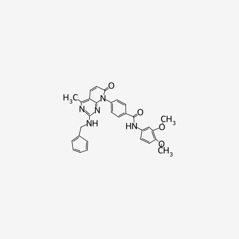 COc1ccc(NC(=O)c2ccc(-n3c(=O)ccc4c(C)nc(NCc5ccccc5)nc43)cc2)cc1OC